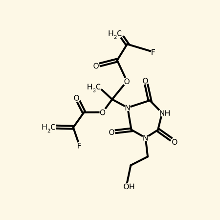 C=C(F)C(=O)OC(C)(OC(=O)C(=C)F)n1c(=O)[nH]c(=O)n(CCO)c1=O